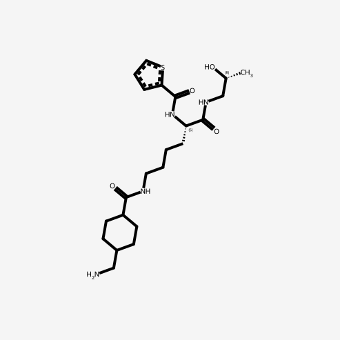 C[C@@H](O)CNC(=O)[C@H](CCCCNC(=O)C1CCC(CN)CC1)NC(=O)c1cccs1